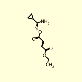 CCOC(=O)/C=C/C(=O)O/N=C(\N)C1CC1